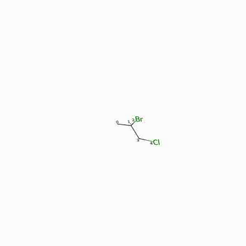 C[C](Br)CCl